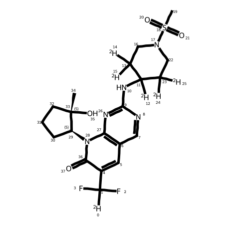 [2H]C(F)(F)c1cc2cnc(NC3([2H])C([2H])([2H])CN(S(C)(=O)=O)CC3([2H])[2H])nc2n([C@H]2CCC[C@]2(C)O)c1=O